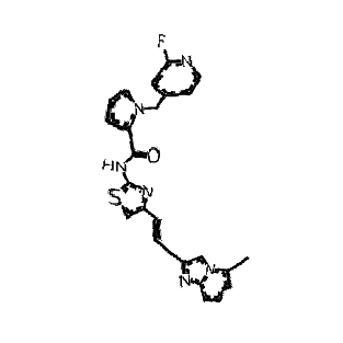 Cc1cccc2nc(C=Cc3csc(NC(=O)c4cccn4Cc4ccnc(F)c4)n3)cn12